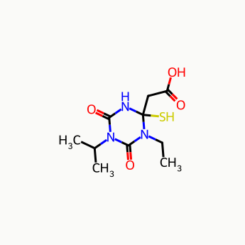 CCN1C(=O)N(C(C)C)C(=O)NC1(S)CC(=O)O